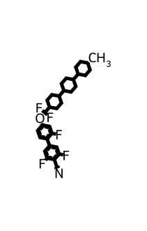 CC1CCC(C2CCC(C3CCC(C(F)(F)Oc4ccc(-c5cc(F)c(C#N)c(F)c5)c(F)c4)CC3)CC2)CC1